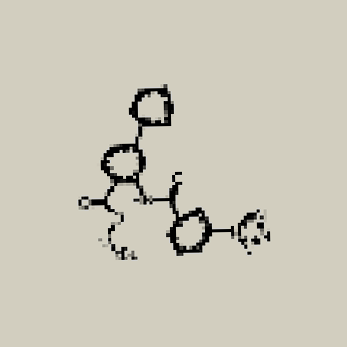 CC(C)(C)OOC(=O)c1ccc(-c2ccccc2)cc1NC(=O)c1cccc(-n2cnnn2)c1